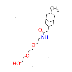 CC1CC2CC(CC(=O)NCCOCCOCCO)CC(C1)C2